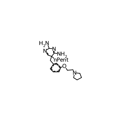 CCCCCC1(Cc2cccc(OCCN3CCCC3)c2)C=NC(N)N=C1N